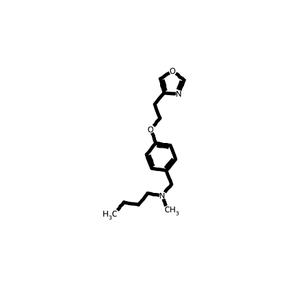 CCCCN(C)Cc1ccc(OCCc2cocn2)cc1